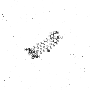 CC(C)(C)c1ccc(CCCCCCCCCCCCP(=O)(O)O)cc1.CC(C)(C)c1ccc(CCCCCCCCCCCCP(=O)(O)O)cc1.[Ni]